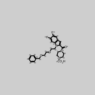 O=C(O)N1CCN(C(=O)c2cc3cc(F)c(F)cc3n2CCOCCOCc2ccccc2)CC1